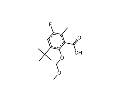 COCOc1c(C(C)(C)C)cc(F)c(C)c1C(=O)O